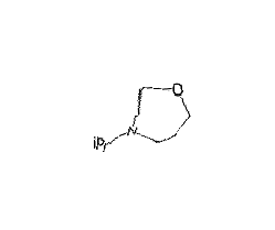 CC(C)N1CCCOCC1